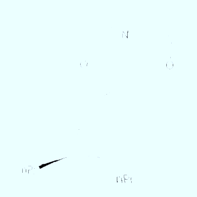 CCCC1=C(CCC23COCCN2CCO3)[C@@H]1CCC